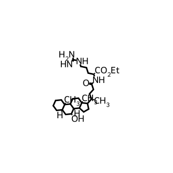 CCOC(=O)[C@H](CCCNC(=N)N)NC(=O)CC[C@@H](C)C1CCC2[C@H]3C(CC[C@@]21C)[C@@]1(C)CCCC[C@H]1C[C@@H]3O